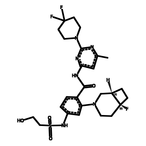 Cc1cc(NC(=O)c2ccc(NS(=O)(=O)CCO)cc2N2CC[C@]3(F)CC[C@@H]3C2)nc(N2CCC(F)(F)CC2)n1